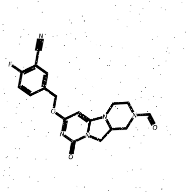 N#Cc1cc(COc2cc3n(c(=O)n2)CC2CN(C=O)CCN32)ccc1F